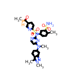 CPC(=O)c1ccc(S(=O)(=O)N(c2ccc(C)c(S(N)(=O)=O)c2)c2nccc(N(C)c3ccc4c(C)n(C)nc4c3)n2)nc1